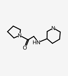 O=C(CNC1CCC[N]C1)N1CCCC1